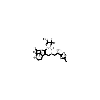 Cc1noc([C@@H](N)CSCC2=C(C(=O)O)N3C(=O)[C@H]4NCCC2[C@H]43)n1.O=C(O)C(F)(F)F